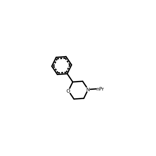 CCCN1CCOC(c2ccccc2)C1